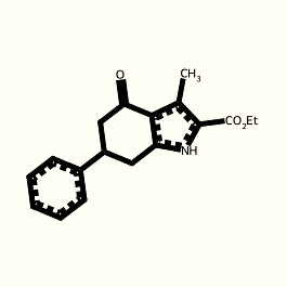 CCOC(=O)c1[nH]c2c(c1C)C(=O)CC(c1ccccc1)C2